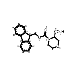 O=C(O)[C@H]1COCCN1C(=O)OCC1c2ccccc2-c2ccccc21